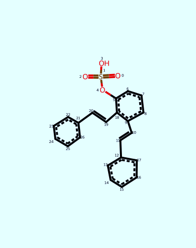 O=S(=O)(O)Oc1cccc(C=Cc2ccccc2)c1C=Cc1ccccc1